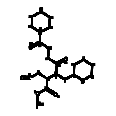 CC(C)(C)OC(=O)[C@@H](CC=O)N(CC1CCCCC1)C(=O)CCC(=O)N1CCOCC1